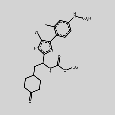 Cc1cc(NC(=O)O)ccc1-c1nc(C(CC2CCC(=O)CC2)NC(=O)OC(C)(C)C)[nH]c1Cl